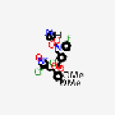 COc1ccc(C(Cc2c(Cl)c[n+]([O-])cc2Cl)OC(=O)c2cccc(CN(C(=O)O[C@H]3CN4CCC3CC4)c3cccc(F)c3)c2)cc1OC